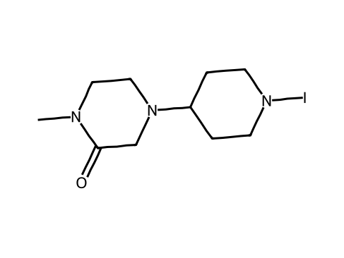 CN1CCN(C2CCN(I)CC2)CC1=O